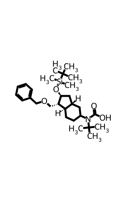 CC(C)(C)N(C(=O)O)C1CC[C@@H]2[C@@H](C1)C[C@H](O[Si](C)(C)C(C)(C)C)[C@H]2COCc1ccccc1